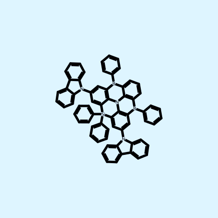 c1ccc(B2c3cccc4c3N3c5c2cc(-n2c6ccccc6c6ccccc62)cc5[Si](c2ccccc2)(c2ccccc2)c2cc(-n5c6ccccc6c6ccccc65)cc(c23)B4c2ccccc2)cc1